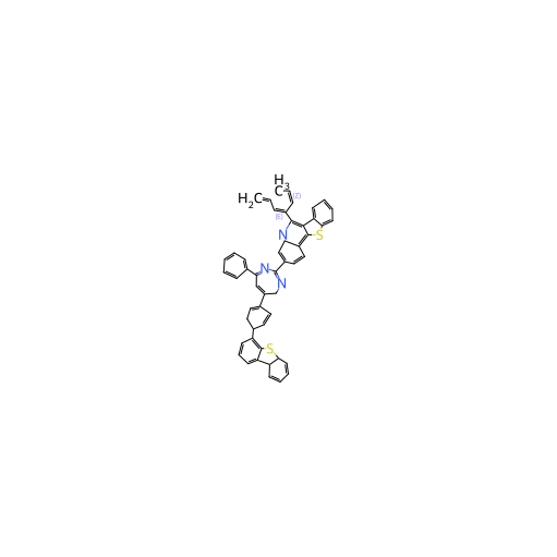 C=C/C=C(\C=C/C)c1nc2cc(C3=NCC(C4=CCC(c5cccc6c5SC5C=CC=CC65)C=C4)=CC(c4ccccc4)=N3)ccc2c2sc3ccccc3c12